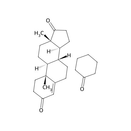 C[C@]12CCC(=O)C=C1CC[C@@H]1[C@@H]2CC[C@]2(C)C(=O)CC[C@@H]12.O=C1CCCCC1